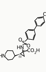 O=C(O)[C@@]1(NS(=O)(=O)c2ccc(-c3ccc(Cl)cc3)cc2)C[C@H]1C1CCNCC1